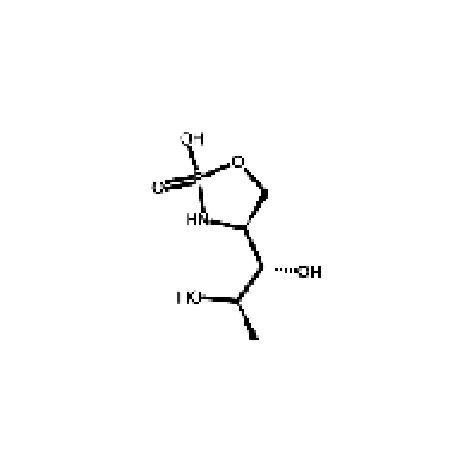 C[C@@H](O)[C@@H](O)[C@@H]1COP(=O)(O)N1